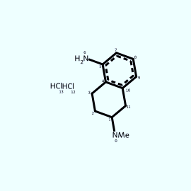 CNC1CCc2c(N)cccc2C1.Cl.Cl